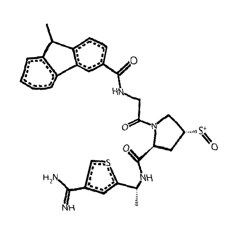 CC1c2ccccc2-c2cc(C(=O)NCC(=O)N3C[C@H]([S+]=O)C[C@H]3C(=O)N[C@H](C)c3cc(C(=N)N)cs3)ccc21